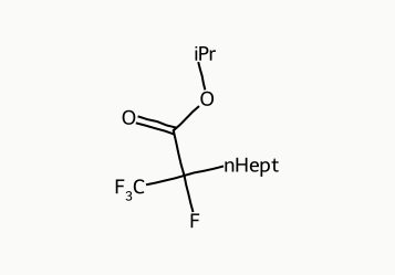 CCCCCCCC(F)(C(=O)OC(C)C)C(F)(F)F